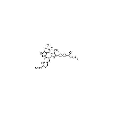 C=CC(=O)N1CC2(CC(n3nc(-c4ccc5nc(NC)ncc5c4)c(-c4c(Cl)c(C)cc5[nH]ncc45)c3C)C2)C1